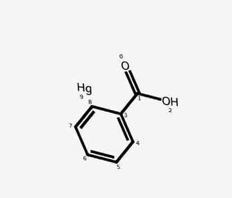 O=C(O)c1ccccc1.[Hg]